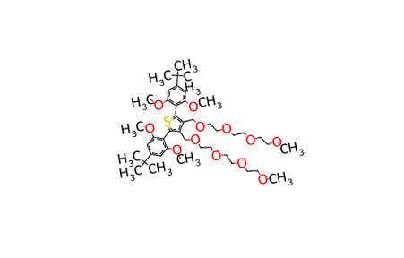 COCCOCCOCCOCc1c(-c2c(OC)cc(C(C)(C)C)cc2OC)sc(-c2c(OC)cc(C(C)(C)C)cc2OC)c1COCCOCCOCCOC